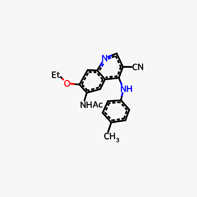 CCOc1cc2ncc(C#N)c(Nc3ccc(C)cc3)c2cc1NC(C)=O